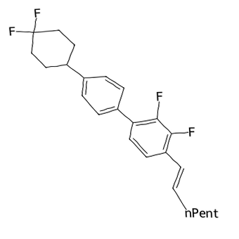 CCCCCC=Cc1ccc(-c2ccc(C3CCC(F)(F)CC3)cc2)c(F)c1F